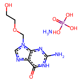 N.Nc1nc2c(ncn2COCCO)c(=O)[nH]1.O=P(O)(O)O